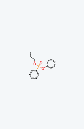 CCCOP(=O)(Oc1ccccc1)c1ccccc1